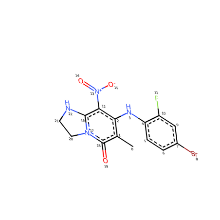 Cc1c(Nc2ccc(Br)cc2F)c([N+](=O)[O-])c2n(c1=O)CCN2